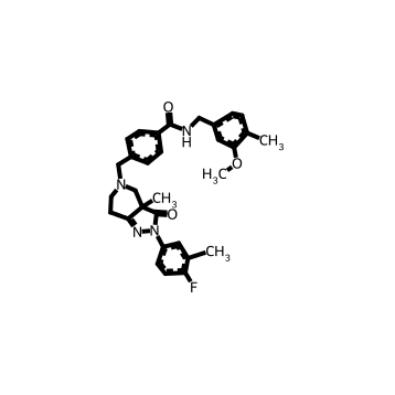 COc1cc(CNC(=O)c2ccc(CN3CCC4=NN(c5ccc(F)c(C)c5)C(=O)C4(C)C3)cc2)ccc1C